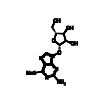 CSc1nc(N)nc2c1ncn2O[C@@H]1O[C@H](CO)[C@@H](O)[C@H]1O